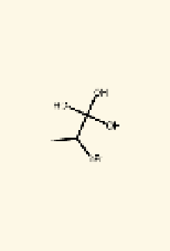 CCCC(F)C(O)(O)O